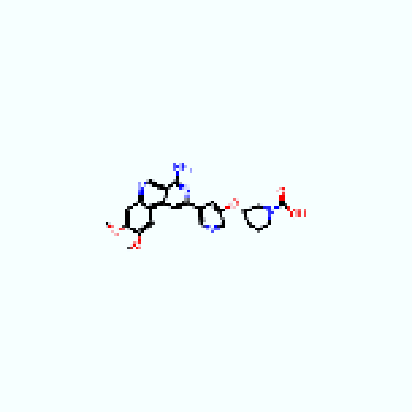 COc1cc2ncc3c(N)nc(-c4cncc(O[C@H]5CCCN(C(=O)O)C5)c4)cc3c2cc1OC